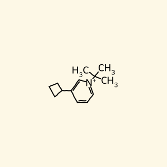 CC(C)(C)[n+]1cccc(C2CCC2)c1